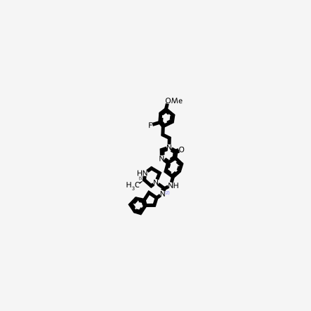 COc1ccc(CCn2cnc3cc(N/C(=N/C4Cc5ccccc5C4)N4CCN[C@@H](C)C4)ccc3c2=O)c(F)c1